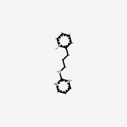 [c]1ccnc(OCCCc2ccccn2)n1